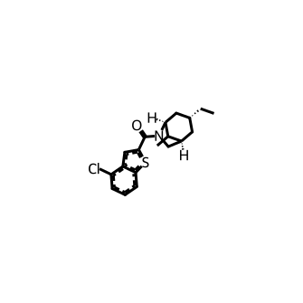 CC[C@@H]1C[C@H]2CN(C(=O)c3cc4c(Cl)cccc4s3)[C@@H](C1)C2C